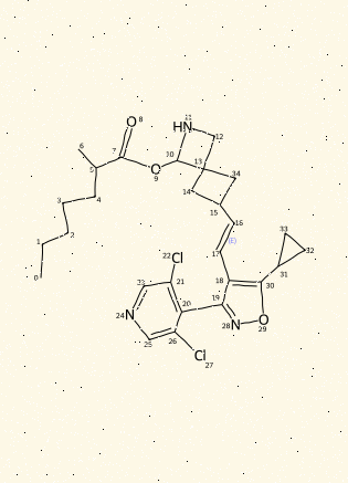 CCCCCC(C)C(=O)OC1NCC12CC(/C=C/c1c(-c3c(Cl)cncc3Cl)noc1C1CC1)C2